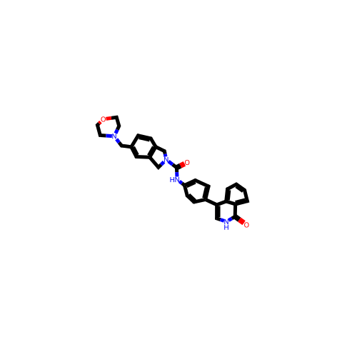 O=C(Nc1ccc(-c2c[nH]c(=O)c3ccccc23)cc1)N1Cc2ccc(CN3CCOCC3)cc2C1